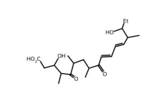 CCC(O)C(C)/C=C/C=C/C(=O)C(C)CC(C)C(=O)C(C)C(O)CC(=O)O